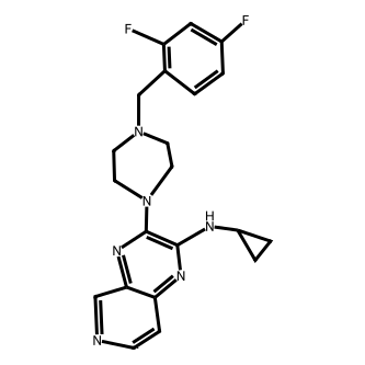 Fc1ccc(CN2CCN(c3nc4cn[c]cc4nc3NC3CC3)CC2)c(F)c1